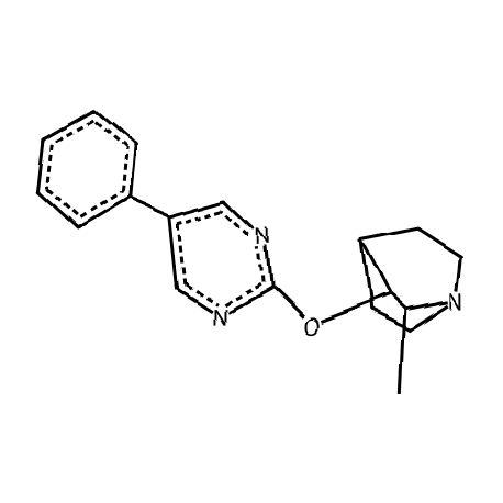 CC1C(Oc2ncc(-c3ccccc3)cn2)C2CCN1CC2